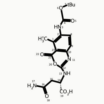 Cc1c(NC(=O)OC(C)(C)C)ccc2nc(N[C@@H](CC(N)=O)C(=O)O)oc(=O)c12